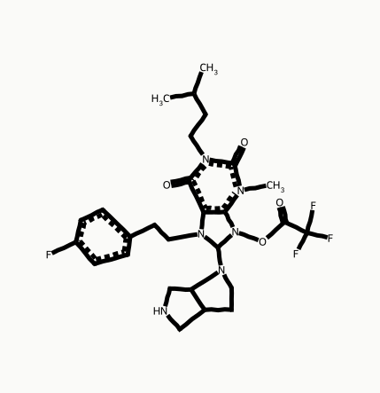 CC(C)CCn1c(=O)c2c(n(C)c1=O)N(OC(=O)C(F)(F)F)C(N1CCC3CNCC31)N2CCc1ccc(F)cc1